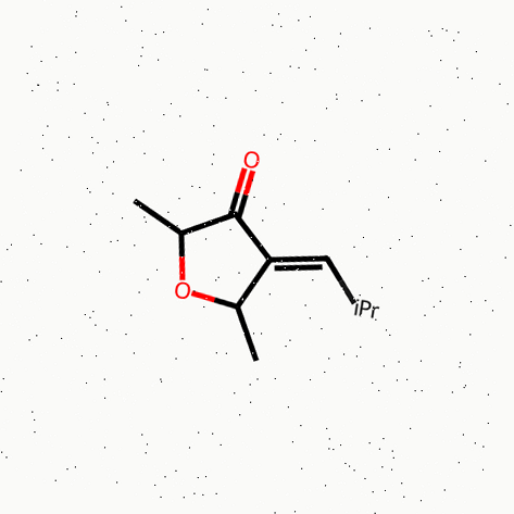 CC(C)C=C1C(=O)C(C)OC1C